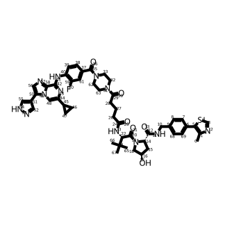 Cc1ncsc1-c1ccc(CNC(=O)[C@@H]2C[C@@H](O)CN2C(=O)[C@@H](NC(=O)CCCC(=O)N2CCN(C(=O)c3ccc(Nc4nc(C5CC5)cn5c(-c6cn[nH]c6)cnc45)c(F)c3)CC2)C(C)(C)C)cc1